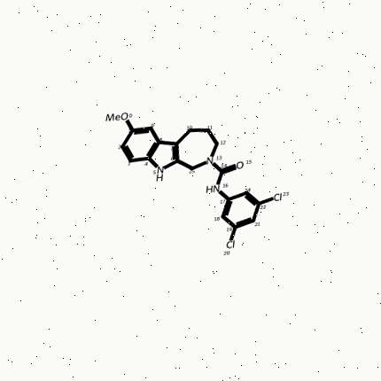 COc1ccc2[nH]c3c(c2c1)CCCN(C(=O)Nc1cc(Cl)cc(Cl)c1)C3